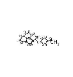 COc1ccc(Cc2ccc3ccc4cccc5ccc2c3c45)cc1